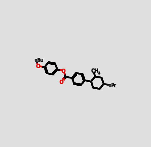 CCCCOc1ccc(OC(=O)c2ccc(C3CCC(CCC)CC3C)cc2)cc1